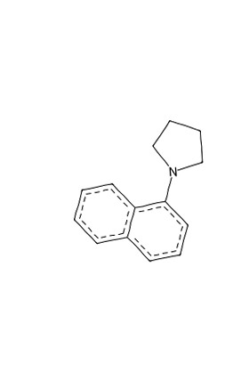 c1ccc2c(N3CCCC3)cccc2c1